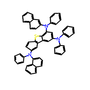 c1ccc(N(c2ccccc2)c2cc(N(c3ccccc3)c3ccc4ccccc4c3)c3sc4ccc(N(c5ccccc5)c5cccc6ccccc56)cc4c3c2)cc1